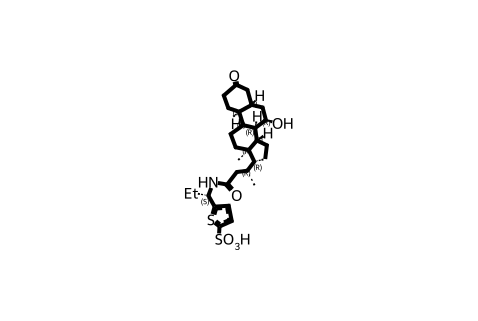 CC[C@H](NC(=O)C[C@@H](C)[C@H]1CC[C@H]2[C@@H]3[C@H](O)C[C@@H]4CC(=O)CC[C@]4(C)[C@H]3CC[C@]12C)c1ccc(S(=O)(=O)O)s1